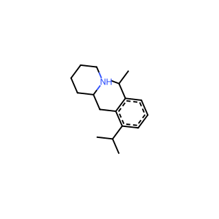 CC(C)c1cccc(C(C)C)c1CC1CCCCN1